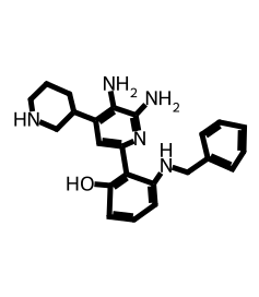 Nc1nc(-c2c(O)cccc2NCc2ccccc2)cc(C2CCCNC2)c1N